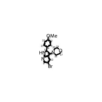 COc1ccc(-c2[nH]c3ncc(Br)cc3c2N2CCOCC2)cc1